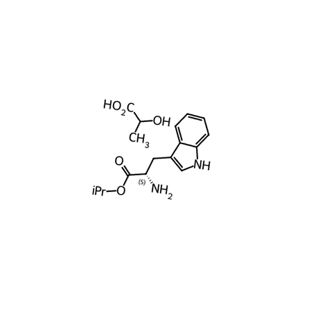 CC(C)OC(=O)[C@@H](N)Cc1c[nH]c2ccccc12.CC(O)C(=O)O